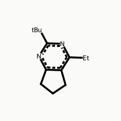 CCc1nc(C(C)(C)C)nc2c1CCC2